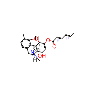 C/C=C/C=C/C(=O)OC1=CC[C@@]2(O)[C@H]3Cc4ccc(C)c5c4[C@@]2(CCN3C)[C@H]1O5